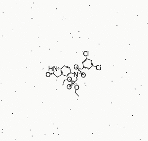 CCOP(=O)(CN(c1ccc2c(c1)CC(=O)N2)S(=O)(=O)c1cc(Cl)cc(Cl)c1)OCC